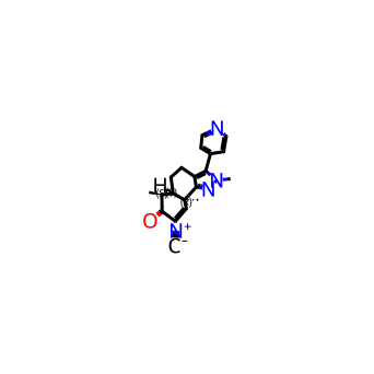 [C-]#[N+]C1=C[C@]2(C)c3nn(C)c(-c4ccncc4)c3CC[C@H]2[C@H](C)C1=O